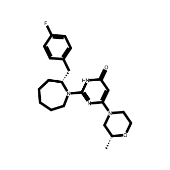 C[C@@H]1CN(c2cc(=O)[nH]c(N3CCCCC[C@@H]3Cc3ccc(F)cc3)n2)CCO1